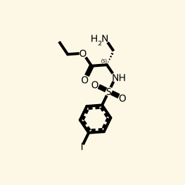 CCOC(=O)[C@H](CN)NS(=O)(=O)c1ccc(I)cc1